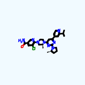 CC(C)c1cc(-c2cc(N3CCN(c4ncc(C(N)=O)cc4Cl)C[C@H]3C)nc(N3CCC[C@@H]3C)n2)ccn1